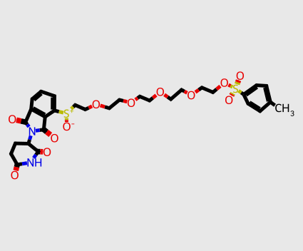 Cc1ccc(S(=O)(=O)OCCOCCOCCOCCOCC[S+]([O-])c2cccc3c2C(=O)N(C2CCC(=O)NC2=O)C3=O)cc1